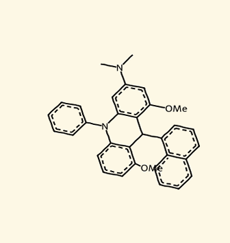 COc1cccc2c1C(c1cccc3ccccc13)c1c(OC)cc(N(C)C)cc1N2c1ccccc1